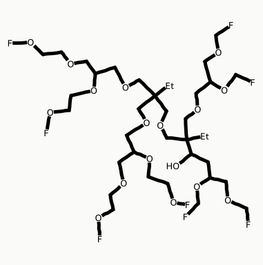 CCC(COCC(COCCOF)OCCOF)(COCC(COCCOF)OCCOF)COCC(CC)(COCC(COCF)OCF)C(O)CC(COCF)OCF